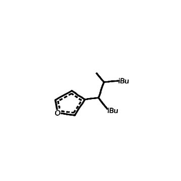 CCC(C)C(C)C(c1ccoc1)C(C)CC